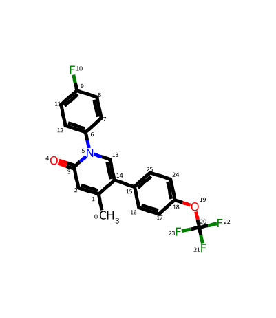 Cc1cc(=O)n(-c2ccc(F)cc2)cc1-c1ccc(OC(F)(F)F)cc1